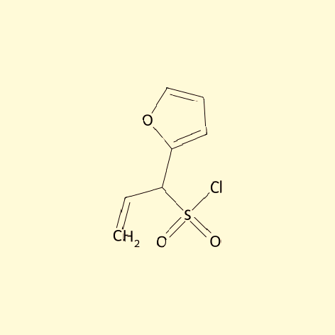 C=CC(c1ccco1)S(=O)(=O)Cl